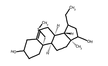 CCC1CC(O)[C@@]2(C)CC[C@@H]3[C@@H](CC=C4CC(O)CC[C@@]43CSC)[C@H]12